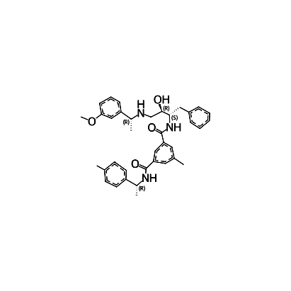 COc1cccc([C@@H](C)NC[C@@H](O)[C@H](Cc2ccccc2)NC(=O)c2cc(C)cc(C(=O)N[C@H](C)c3ccc(C)cc3)c2)c1